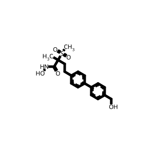 CC(CCc1ccc(-c2ccc(CO)cc2)cc1)(C(=O)NO)S(C)(=O)=O